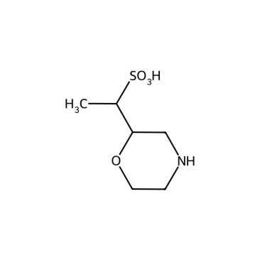 CC(C1CNCCO1)S(=O)(=O)O